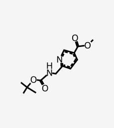 COC(=O)c1ccc(CNC(=O)OC(C)(C)C)nc1